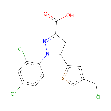 O=C(O)C1=NN(c2ccc(Cl)cc2Cl)C(c2cc(CCl)cs2)C1